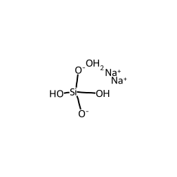 O.[Na+].[Na+].[O-][Si]([O-])(O)O